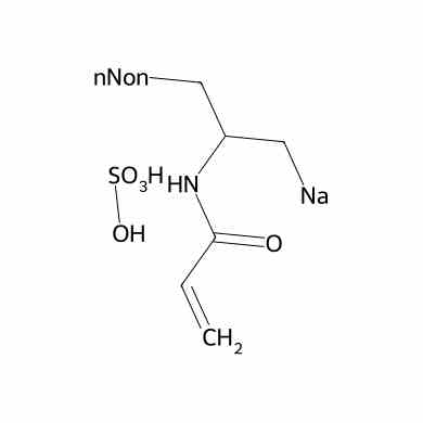 C=CC(=O)NC([CH2][Na])CCCCCCCCCC.O=S(=O)(O)O